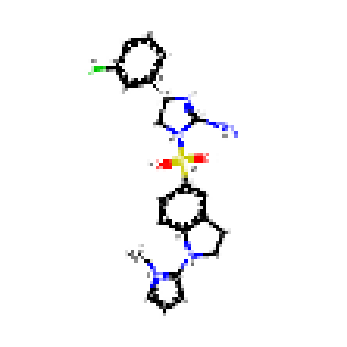 Cn1cccc1N1CCc2cc(S(=O)(=O)N3C[C@H](c4cccc(Cl)c4)N=C3N)ccc21